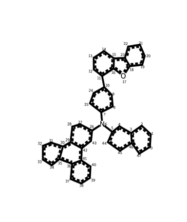 c1ccc2cc(N(c3ccc(-c4cccc5c4oc4ccccc45)cc3)c3ccc4c5ccccc5c5ccccc5c4c3)ccc2c1